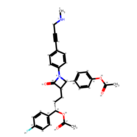 CNCC#Cc1ccc(N2C(=O)C(CC[C@H](OC(C)=O)c3ccc(F)cc3)[C@H]2c2ccc(OC(C)=O)cc2)cc1